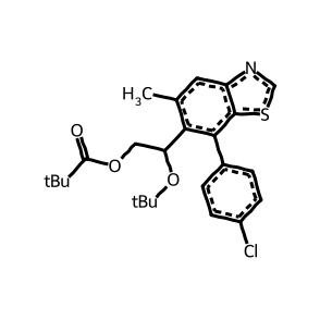 Cc1cc2ncsc2c(-c2ccc(Cl)cc2)c1C(COC(=O)C(C)(C)C)OC(C)(C)C